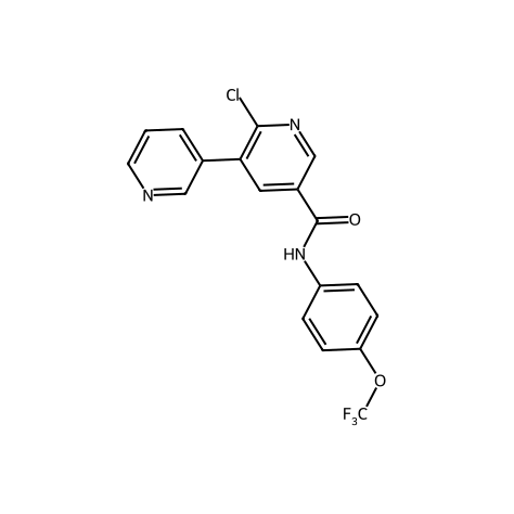 O=C(Nc1ccc(OC(F)(F)F)cc1)c1cnc(Cl)c(-c2cccnc2)c1